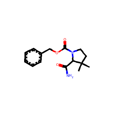 CC1(C)CCN(C(=O)OCc2ccccc2)C1C(N)=O